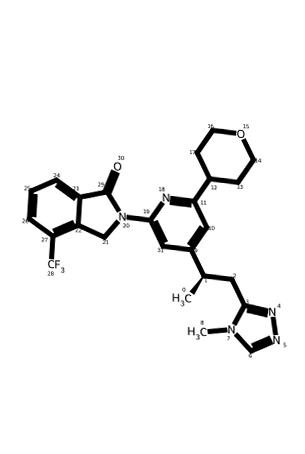 C[C@H](Cc1nncn1C)c1cc(C2CCOCC2)nc(N2Cc3c(cccc3C(F)(F)F)C2=O)c1